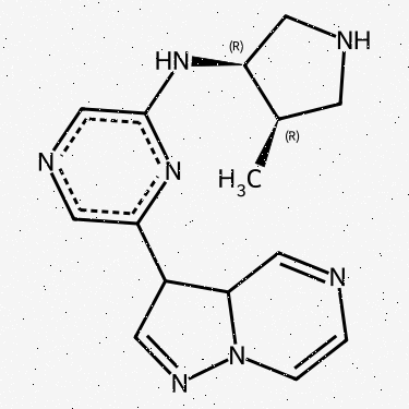 C[C@@H]1CNC[C@@H]1Nc1cncc(C2C=NN3C=CN=CC23)n1